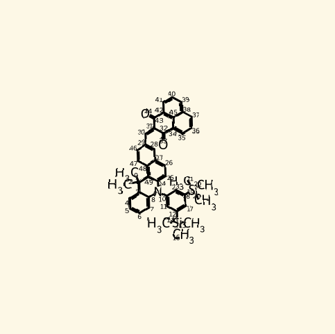 CC1(C)c2ccccc2N(c2cc([Si](C)(C)C)cc([Si](C)(C)C)c2)c2ccc3cc(C=c4c(=O)c5cccc6cccc(c4=O)c65)ccc3c21